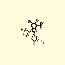 CC(C)n1c(N2CCN[C@@H](C)C2)nc2c([N+](=O)[O-])c(Br)c(Br)cc21